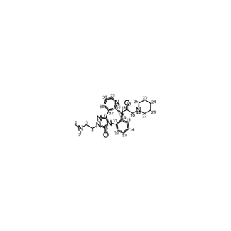 CN(C)CCn1nc2n(c1=O)-c1ccccc1N(C(=O)CN1CCCCC1)c1ncccc1-2